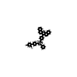 Cc1ccc(-c2ccc(-c3nc(-c4ccccc4)nc(-c4ccc(-c5c6ccc7ccccc7c6nc6c5ccc5ccccc56)cc4)n3)cc2)c(C)n1